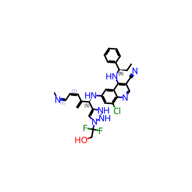 C=C(/C=C\C=N/C)[C@H](Nc1cc(Cl)c2ncc(C#N)c(N[C@H](CC)c3ccccc3)c2c1)C1=CN(C(F)(F)CO)NN1